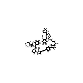 C[C@@H](CCCNC(=O)[C@H](NC(=O)N1CCOCC1)c1ccccc1)c1ncc(-c2ccc(C#Cc3cnc([C@@H]4CCCN4C(=O)[C@H](NC(=O)N4CCOCC4)c4ccccc4)[nH]3)cc2)[nH]1